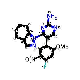 COc1cc(F)c([N+](=O)[O-])cc1-c1cnc(N)nc1-n1ncc2ccccc21